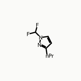 CCCc1ccn(C(F)F)n1